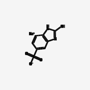 O=S(=O)([O-])c1ccc2[nH]c(S)nc2c1.[Na+]